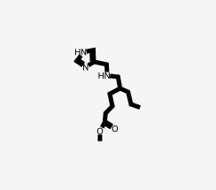 CCCC(CCCC(=O)OC)CNCc1c[nH]cn1